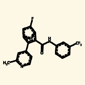 Cc1cc(-c2c(C(=O)Nc3cccc(C(F)(F)F)c3)c3oc2cc3F)ccn1